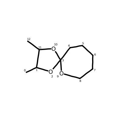 CC1OC2(CCCCCO2)OC1C